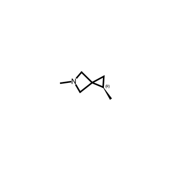 C[C@@H]1CC12CN(C)C2